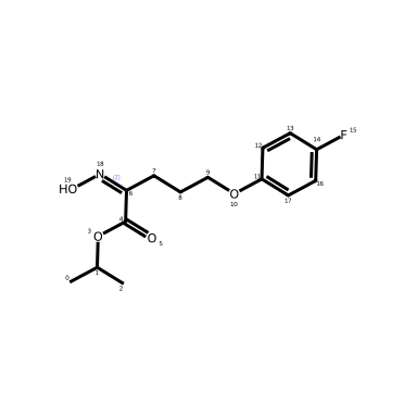 CC(C)OC(=O)/C(CCCOc1ccc(F)cc1)=N\O